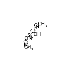 Cc1ccn(-c2ccc(-c3nnc(OC4CC5CC(F)C(C4)N5C)s3)c(O)c2)n1